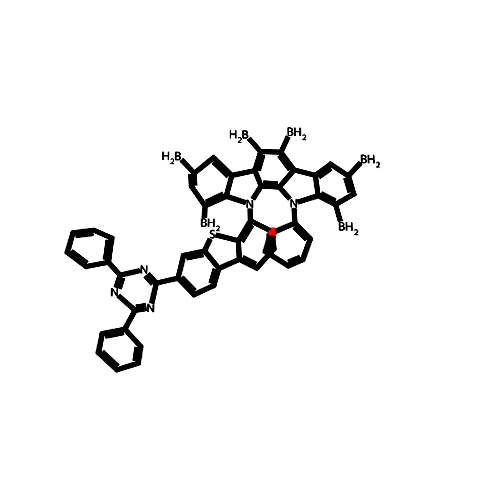 Bc1cc(B)c2c(c1)c1c(B)c(B)c3c4cc(B)cc(B)c4n(-c4cccc5c4sc4cc(-c6nc(-c7ccccc7)nc(-c7ccccc7)n6)ccc45)c3c1n2-c1ccccc1